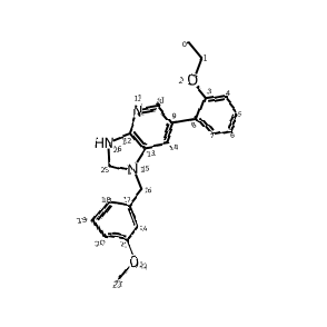 CCOc1ccccc1-c1cnc2c(c1)N(Cc1cccc(OC)c1)CN2